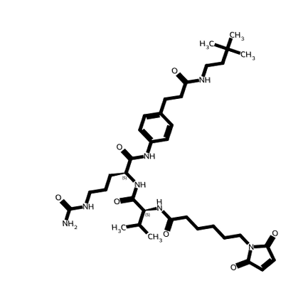 CC(C)[C@H](NC(=O)CCCCCN1C(=O)C=CC1=O)C(=O)N[C@@H](CCCNC(N)=O)C(=O)Nc1ccc(CCC(=O)NCCC(C)(C)C)cc1